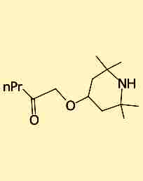 CCCC(=O)COC1CC(C)(C)NC(C)(C)C1